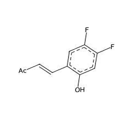 CC(=O)C=Cc1cc(F)c(F)cc1O